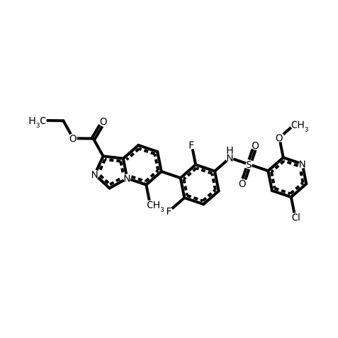 CCOC(=O)c1ncn2c(C)c(-c3c(F)ccc(NS(=O)(=O)c4cc(Cl)cnc4OC)c3F)ccc12